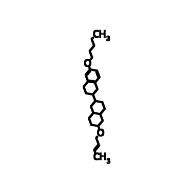 CC=CCOC1CCC2CC(C3CCc4cc(OCCCCC)ccc4C3)CCC2C1